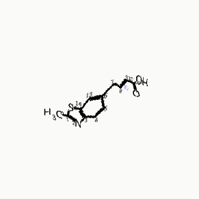 Cc1nc2ccc(C/C=C/C(=O)O)cc2s1